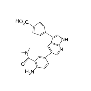 CN(C)C(=O)c1cc(-c2cnc3[nH]cc(-c4ccc(C(=O)O)cc4)c3c2)ccc1N